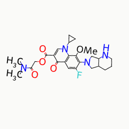 COc1c(N2CC3CCCNC3C2)c(F)cc2c(=O)c(C(=O)OCC(=O)N(C)C)cn(C3CC3)c12